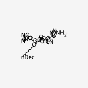 CCCCCCCCCCCCCCCCCCOC[C@H](COP(=O)(O)OC[C@]1(C#N)CC[C@H](c2ccc3c(N)ncnn23)O1)OCc1ccc(C#N)c(-n2cncn2)c1